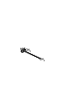 CCCCCCCCCCCCCCCCCC(C(C)C)[SiH]1CCCCO1